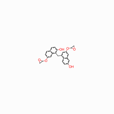 Oc1ccc2c(Cc3c(O)ccc4ccc(OC5CO5)cc34)cc(OC3CO3)cc2c1